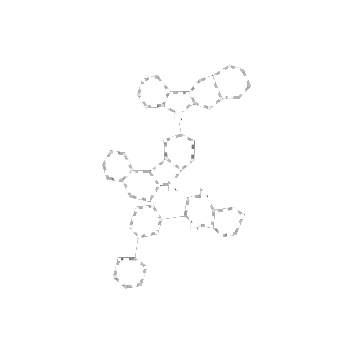 c1ccc(-c2cccc(-c3nc4ccccc4nc3-n3c4ccc(-n5c6ccccc6c6cc7ccccc7cc65)cc4c4c5ccccc5ccc43)c2)cc1